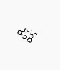 CN(C(=O)[C@@H](CC(=O)O)Cc1ccccc1)c1nc(-c2ccccc2N2CCCC2=O)cs1